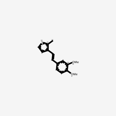 COc1ccc(C=Cc2ccsc2C)cc1OC